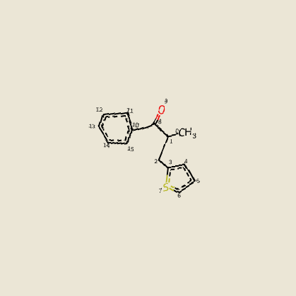 CC(Cc1cccs1)C(=O)c1ccccc1